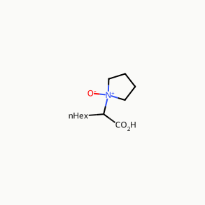 CCCCCCC(C(=O)O)[N+]1([O-])CCCC1